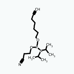 C#CCCCCCOP(OCCC#N)N(C(C)C)C(C)C